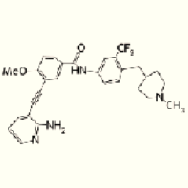 COc1ccc(C(=O)Nc2ccc(CC3CCN(C)CC3)c(C(F)(F)F)c2)cc1C#Cc1cccnc1N